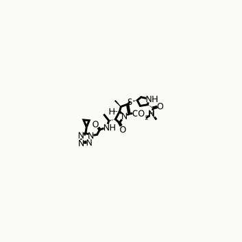 CC(NC(=O)Cn1nnnc1C1CC1)[C@H]1C(=O)N2C(C(=O)O)=C(S[C@@H]3CN[C@H](C(=O)N(C)C)C3)[C@H](C)[C@H]12